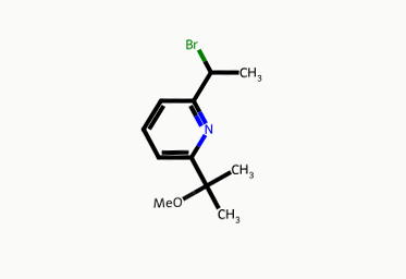 COC(C)(C)c1cccc(C(C)Br)n1